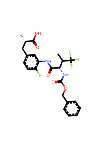 CC([C@H](NC(=O)OCc1ccccc1)C(=O)Nc1cc(C[C@H](C)C(=O)O)ccc1F)C(F)(F)F